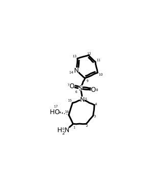 NC1CCCN(S(=O)(=O)c2ccccn2)C[C@H]1O